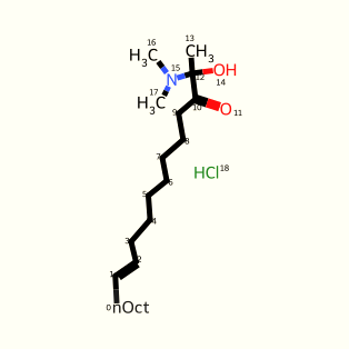 CCCCCCCCC=CCCCCCCCC(=O)C(C)(O)N(C)C.Cl